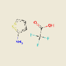 Nc1cccs1.O=C(O)C(F)(F)F